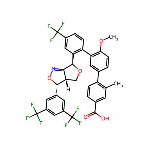 COc1ccc(-c2ccc(C(=O)O)cc2C)cc1-c1ccc(C(F)(F)F)cc1[C@H]1OC[C@H]2C1=NO[C@H]2c1cc(C(F)(F)F)cc(C(F)(F)F)c1